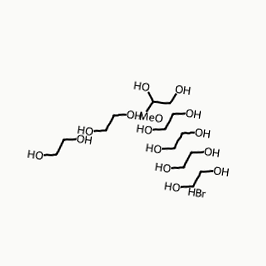 Br.COC(O)CO.OCCO.OCCO.OCCO.OCCO.OCCO.OCCO